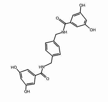 O=C(NCc1ccc(CNC(=O)c2cc(O)cc(O)c2)cc1)c1cc(O)cc(O)c1